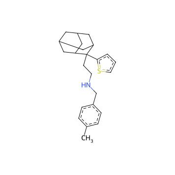 Cc1ccc(CNCCC2(c3cccs3)C3CC4CC(C3)CC2C4)cc1